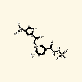 CS(=O)(=O)NNC(=O)c1ccc[n+](CC(=O)c2cc([N+](=O)[O-])cs2)c1.[Br-]